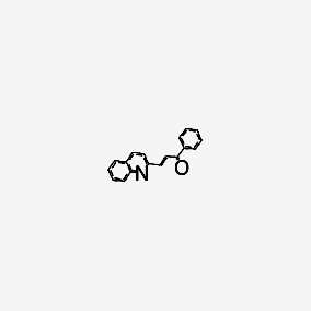 O=C(/C=C/c1ccc2ccccc2n1)c1ccccc1